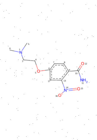 CN(C)CCOc1ccc(C(N)=O)c([N+](=O)[O-])c1